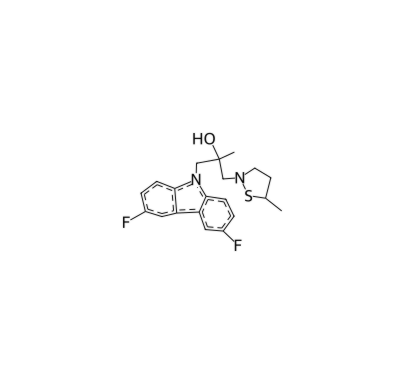 CC1CCN(CC(C)(O)Cn2c3ccc(F)cc3c3cc(F)ccc32)S1